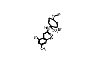 CCOC(=O)C1(NC(=O)Cc2c(Br)cc(C)cc2CC)CCC(OCC)CC1